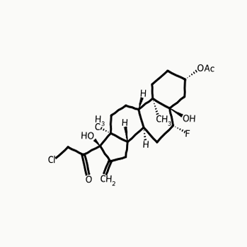 C=C1C[C@H]2[C@@H]3C[C@@H](F)[C@@]4(O)C[C@@H](OC(C)=O)CC[C@]4(C)[C@H]3CC[C@]2(C)[C@@]1(O)C(=O)CCl